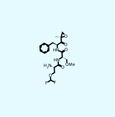 COC[C@H](NC(=O)[C@@H](N)COC(F)F)C(=O)N[C@@H](Cc1ccccc1)C(=O)[C@@]1(C)CO1